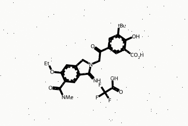 CCOc1cc2c(cc1C(=O)NC)C(=N)N(CC(=O)c1cc(C(=O)O)c(O)c(C(C)(C)C)c1)C2.O=C(O)C(F)(F)F